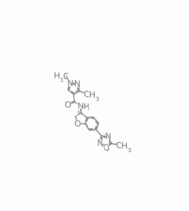 Cc1nc(-c2ccc3c(c2)OC[C@H]3NC(=O)c2cn(C)nc2C)no1